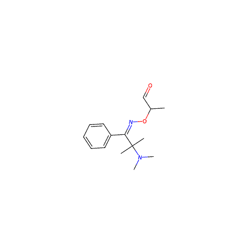 CC(C=O)ON=C(c1ccccc1)C(C)(C)N(C)C